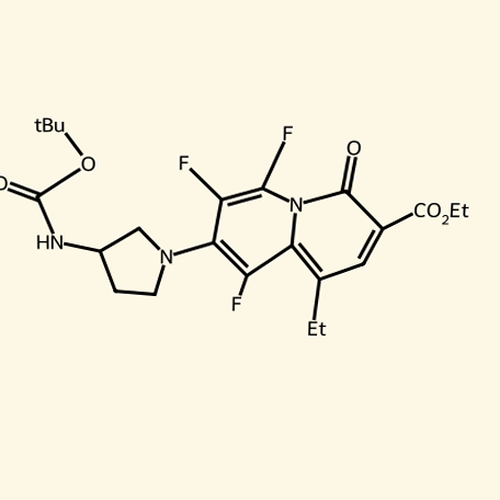 CCOC(=O)c1cc(CC)c2c(F)c(N3CCC(NC(=O)OC(C)(C)C)C3)c(F)c(F)n2c1=O